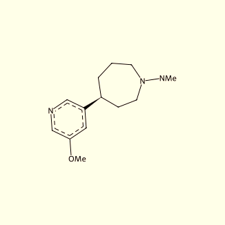 CNN1CCC[C@H](c2cncc(OC)c2)CC1